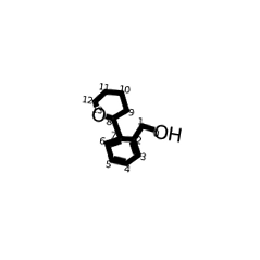 OCc1ccccc1C1CCCCO1